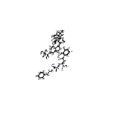 C=C(/C=C(\C=C\C(=O)NCCc1ccccc1)N(C)C)c1cccc(CN2O[C@@H](CNC(=O)C(F)(F)F)[C@@H]([C@H](C)O)[C@H]2C(=O)N[C@H]2C[C@H]3C[C@@H]([C@@H]2C)C3(C)C)c1OC